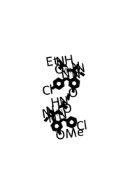 CCNC(=O)C[C@H]1N=C(c2ccc(Cl)cc2)c2cc(OCCNC(=O)C[C@H]3N=C(c4ccc(Cl)cc4)c4cc(OC)ccc4-n4c(C)nnc43)ccc2-n2c(C)nnc21